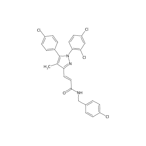 Cc1c(/C=C/C(=O)NCc2ccc(Cl)cc2)nn(-c2ccc(Cl)cc2Cl)c1-c1ccc(Cl)cc1